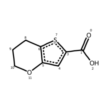 O=C(O)c1cc2c(s1)CCCO2